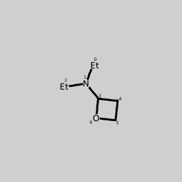 [CH2]CN(CC)C1CCO1